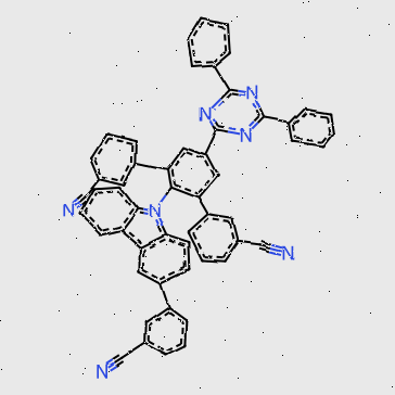 N#Cc1cccc(-c2ccc3c(c2)c2ccccc2n3-c2c(-c3cccc(C#N)c3)cc(-c3nc(-c4ccccc4)nc(-c4ccccc4)n3)cc2-c2cccc(C#N)c2)c1